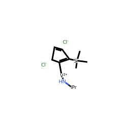 CC(C)[NH][V+2][C]1=C([Si](C)(C)C)C=CC1.[Cl-].[Cl-]